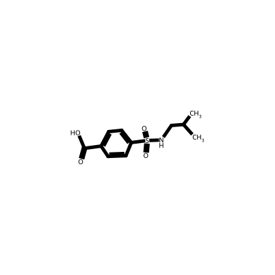 CC(C)CNS(=O)(=O)c1ccc(C(=O)O)cc1